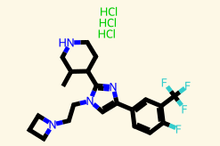 CC1CNCCC1c1nc(-c2ccc(F)c(C(F)(F)F)c2)cn1CCN1CCC1.Cl.Cl.Cl